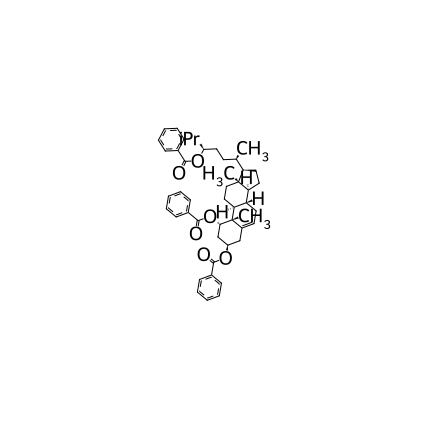 CC(C)[C@@H](CC[C@@H](C)[C@H]1CC[C@H]2[C@@H]3CC=C4C[C@@H](OC(=O)c5ccccc5)C[C@H](OC(=O)c5ccccc5)[C@]4(C)[C@H]3CC[C@]12C)OC(=O)c1ccccc1